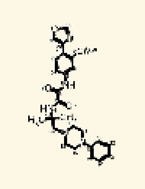 COc1cc(NC(=O)C(=O)NC(C)(C)CN2CCN(c3ccccc3)CC2)ccc1-c1cocn1